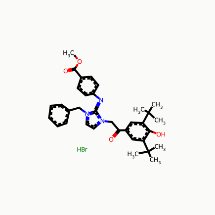 Br.COC(=O)c1ccc(N=c2n(CC(=O)c3cc(C(C)(C)C)c(O)c(C(C)(C)C)c3)ccn2Cc2ccccc2)cc1